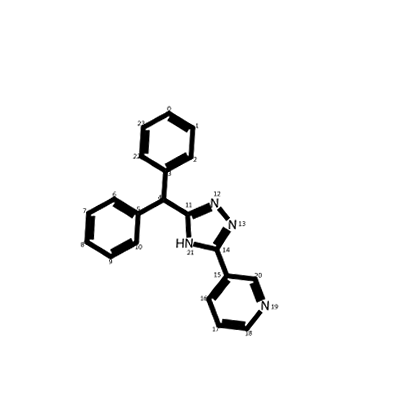 c1ccc(C(c2ccccc2)c2nnc(-c3cccnc3)[nH]2)cc1